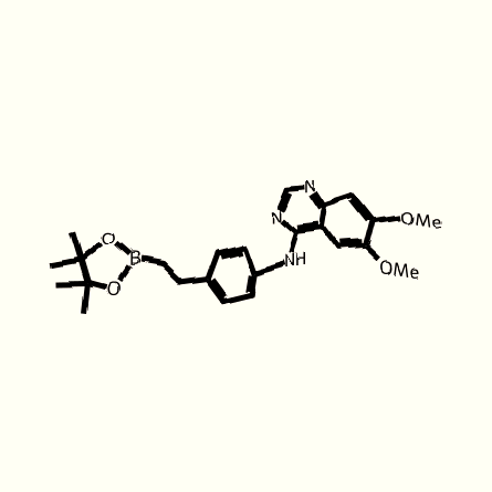 COc1cc2ncnc(Nc3ccc(CCB4OC(C)(C)C(C)(C)O4)cc3)c2cc1OC